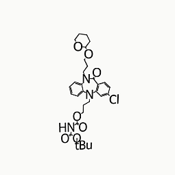 CC(C)(C)OC(=O)NC(=O)OCCCN1c2cc(Cl)ccc2C(=O)N(CCCOC2CCCCO2)c2ccccc21